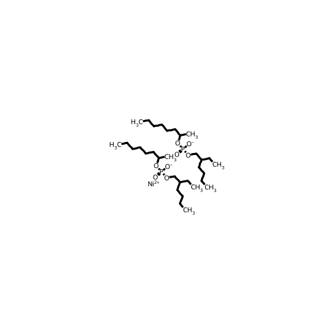 CCCCCCC(C)OP(=O)([O-])OCC(CC)CCCC.CCCCCCC(C)OP(=O)([O-])OCC(CC)CCCC.[Ni+2]